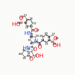 O=C(O)CC1(NC(=O)[C@@H]2C[C@H](NC(=O)c3ccc4c(c3)B(O)OC4)CN2C(=O)c2ccc3c(c2)B(O)OC3)CCCC1